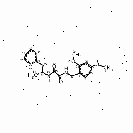 COc1ccc(CNC(=O)C(=O)NC(C)Cc2ccccn2)c(OC)c1